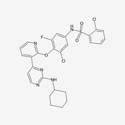 O=S(=O)(Nc1cc(F)c(Oc2ncccc2-c2ccnc(NC3CCCCC3)n2)c(Cl)c1)c1ccccc1Cl